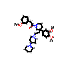 CCOc1ccc(C2(CCN3CCC(N4CCCCC4)CC3)CCCN(C(=O)Cc3cccc(OC(C)C)c3)C2)cc1OCC